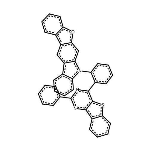 c1ccc(-c2nc(-c3ccccc3-n3c4ccccc4c4cc5c(cc43)oc3ccccc35)c3sc4ccccc4c3n2)cc1